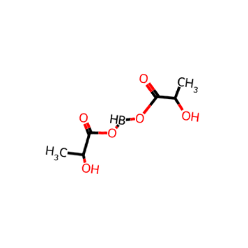 CC(O)C(=O)OBOC(=O)C(C)O